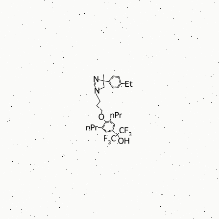 CCCc1cc(C(O)(C(F)(F)F)C(F)(F)F)cc(CCC)c1OCCCCN1C=NC(C)(c2ccc(CC)cc2)C1